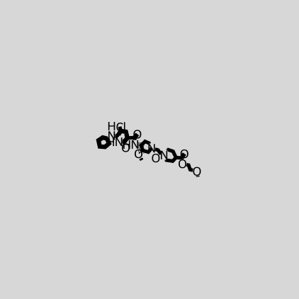 COCCOC(=O)C1CCN(C(=O)CN2CC[C@@H](NC(=O)c3cc(Cl)c(Nc4ccccc4)[nH]c3=O)[C@@H](OC)C2)CC1